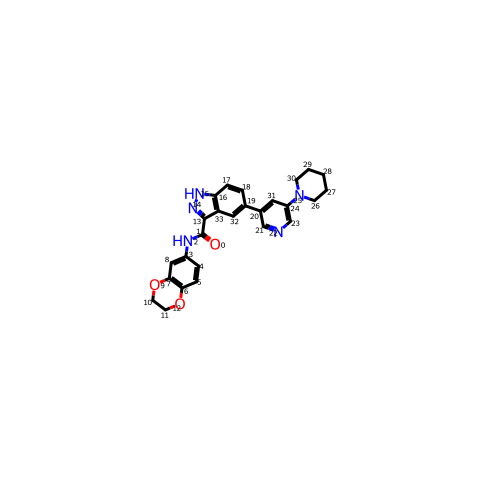 O=C(Nc1ccc2c(c1)OCCO2)c1n[nH]c2ccc(-c3cncc(N4CCCCC4)c3)cc12